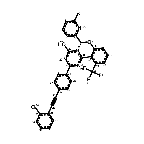 Cc1cccc(COc2cccc(C(F)(F)F)c2-c2nc(O)nc(-c3ccc(C#Cc4ccccc4Cl)cc3)n2)n1